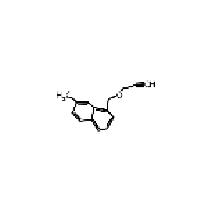 C#CCOCc1cccc2ccc(C)cc12